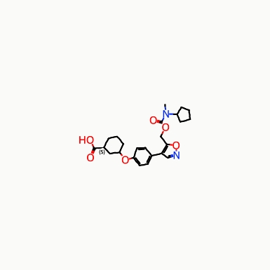 CN(C(=O)OCc1oncc1-c1ccc(OC2CCC[C@H](C(=O)O)C2)cc1)C1CCCC1